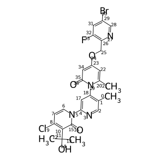 Cc1cnc(-n2ccc(Cl)c(C(C)(C)O)c2=O)cc1-n1c(C)cc(OCc2ncc(Br)cc2F)cc1=O